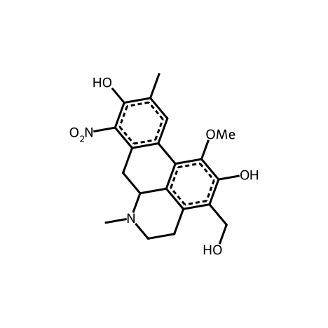 COc1c(O)c(CO)c2c3c1-c1cc(C)c(O)c([N+](=O)[O-])c1CC3N(C)CC2